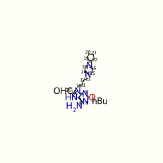 CCCCOc1nc(N)c2c(n1)N(CCCCN1CCN(C3CCCC3)CC1)C(C=O)N2